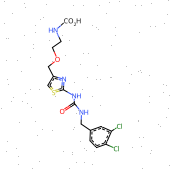 O=C(O)NCCOCc1csc(NC(=O)NCc2ccc(Cl)c(Cl)c2)n1